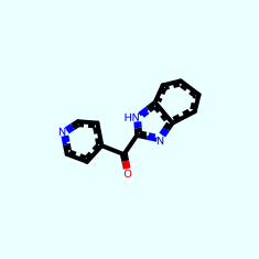 O=C(c1ccncc1)c1nc2ccccc2[nH]1